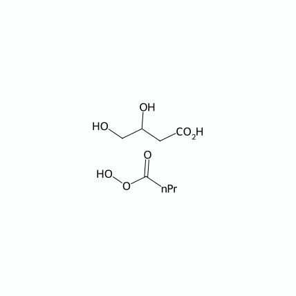 CCCC(=O)OO.O=C(O)CC(O)CO